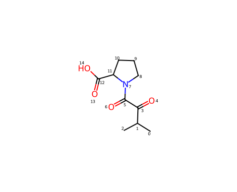 CC(C)C(=O)C(=O)N1CCCC1C(=O)O